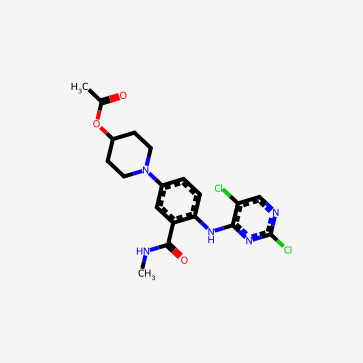 CNC(=O)c1cc(N2CCC(OC(C)=O)CC2)ccc1Nc1nc(Cl)ncc1Cl